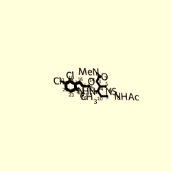 CNC(=O)CC1CN(SNC(C)=O)CCC1NC(=O)c1cc2c(Cl)c(Cl)ccc2n1C